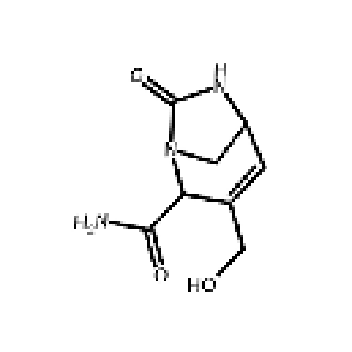 NC(=O)C1C(CO)=CC2CN1C(=O)N2